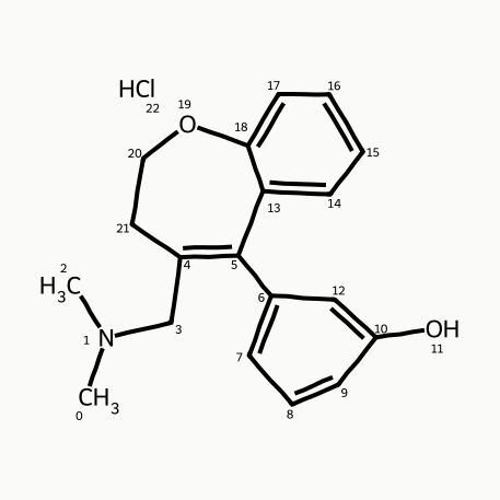 CN(C)CC1=C(c2cccc(O)c2)c2ccccc2OCC1.Cl